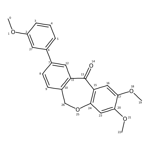 COc1cccc(-c2ccc3c(c2)C(=O)c2cc(OC)c(OC)cc2OC3)c1